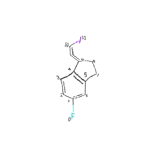 Fc1ccc2c(c1)CCC2=CI